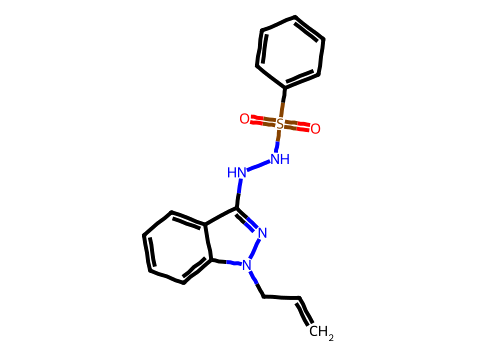 C=CCn1nc(NNS(=O)(=O)c2ccccc2)c2ccccc21